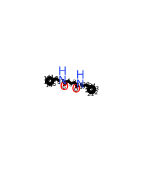 O=C(CCCC(=O)NCCc1ccccc1)NCCc1ccccc1